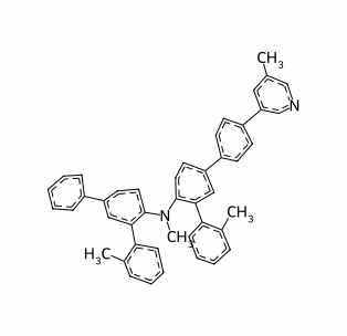 Cc1cncc(-c2ccc(-c3ccc(N(C)c4ccc(-c5ccccc5)cc4-c4ccccc4C)c(-c4ccccc4C)c3)cc2)c1